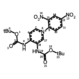 CC(C)(C)OC(=O)Nc1cc[n+](-c2ccc([N+](=O)[O-])cc2[N+](=O)[O-])cc1NC(=O)OC(C)(C)C